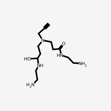 C#CCN(CCC(=O)NCCN)CCC(O)NCCN